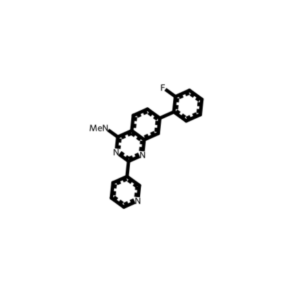 CNc1nc(-c2cccnc2)nc2cc(-c3ccccc3F)ccc12